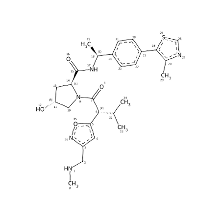 CNCc1cc([C@H](C(=O)N2C[C@H](O)C[C@H]2C(=O)N[C@@H](C)c2ccc(-c3scnc3C)cc2)C(C)C)on1